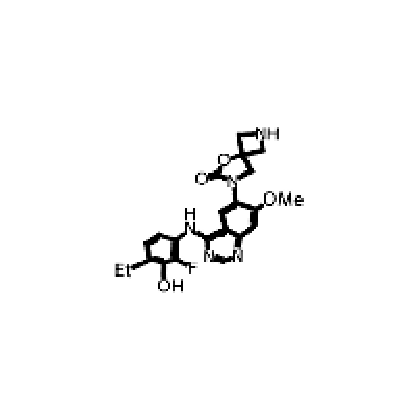 CCc1ccc(Nc2ncnc3cc(OC)c(N4CC5(CNC5)OC4=O)cc23)c(F)c1O